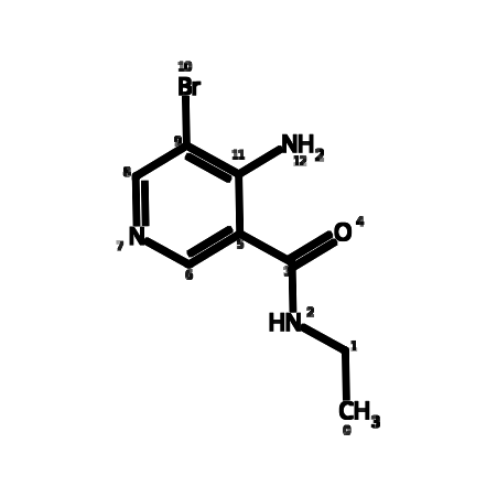 CCNC(=O)c1cncc(Br)c1N